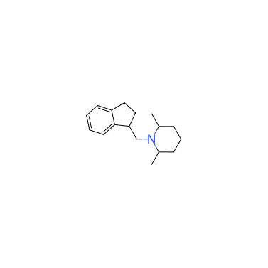 CC1CCCC(C)N1CC1CCc2ccccc21